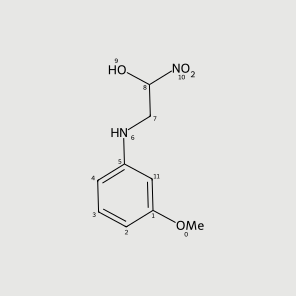 COc1cccc(NCC(O)[N+](=O)[O-])c1